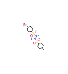 Cc1ccc(S(=O)(=O)NN(C)S(=O)(=O)c2ccc(Br)cc2)cc1